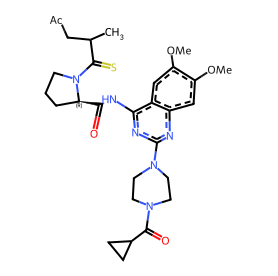 COc1cc2nc(N3CCN(C(=O)C4CC4)CC3)nc(NC(=O)[C@H]3CCCN3C(=S)C(C)CC(C)=O)c2cc1OC